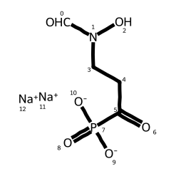 O=CN(O)CCC(=O)P(=O)([O-])[O-].[Na+].[Na+]